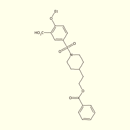 CCOc1ccc(S(=O)(=O)N2CCC(CCOC(=O)c3ccccc3)CC2)cc1C(=O)O